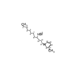 Br.CCCCCCCCCCCCN1C=CC=C(C)C1